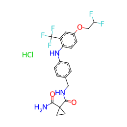 Cl.NC(=O)C1(C(=O)NCc2ccc(Nc3ccc(OCC(F)F)cc3C(F)(F)F)cc2)CC1